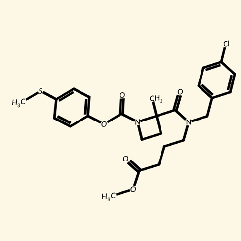 COC(=O)CCCN(Cc1ccc(Cl)cc1)C(=O)C1(C)CCN1C(=O)Oc1ccc(SC)cc1